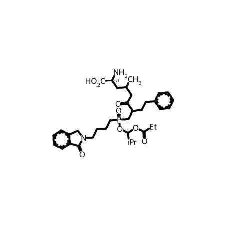 CCC(=O)OC(OP(=O)(CCCCN1Cc2ccccc2C1=O)CC(CCc1ccccc1)C(=O)CC(C)C[C@H](N)C(=O)O)C(C)C